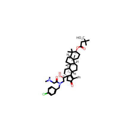 CC(C)C1=C2[C@H]3CC[C@@H]4[C@@]5(C)CC[C@H](OC(=O)CC(C)(C)C(=O)O)C(C)(C)[C@@H]5CC[C@@]4(C)[C@]3(C)CC[C@@]2([C@H](O)CN(Cc2ccc(Cl)cc2)C(=O)CN(C)C)CC1=O